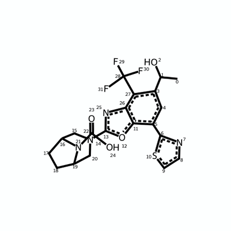 CC(O)c1cc(-c2nccs2)c2oc(N3CC4CCC(C3)N4C(=O)O)nc2c1C(F)(F)F